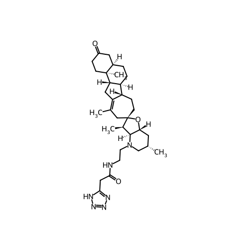 CC1=C2C[C@H]3[C@@H](CC[C@@H]4CC(=O)CC[C@@]43C)[C@@H]2CC[C@@]2(C1)O[C@@H]1C[C@H](C)CN(CCNC(=O)Cc3nnn[nH]3)[C@H]1[C@H]2C